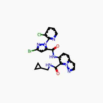 O=C(Nc1ccc2ccnn2c1C(=O)NCC1CC1)c1cc(Br)nn1-c1ncccc1Cl